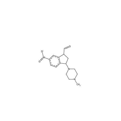 CN1CCN(C2CC(C=O)c3cc([N+](=O)[O-])ccc32)CC1